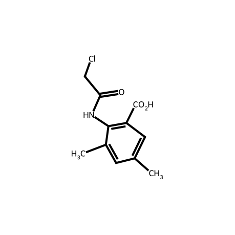 Cc1cc(C)c(NC(=O)CCl)c(C(=O)O)c1